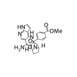 COC(=O)c1ccc(C(=O)N2[C@@H]3CC[C@H]2C[C@H](Nc2c(C(N)=O)cnc4[nH]ccc24)C3)cc1